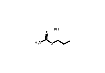 CCCSC(N)=S.[KH]